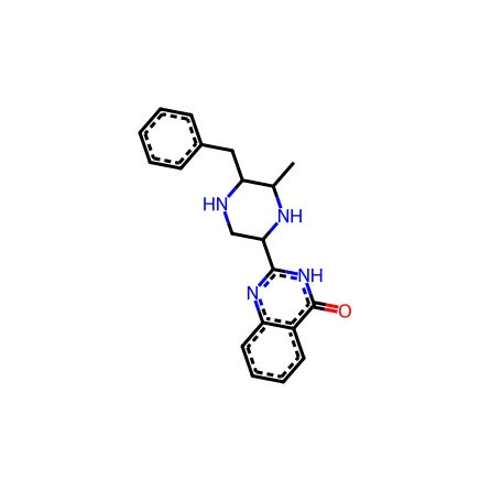 CC1NC(c2nc3ccccc3c(=O)[nH]2)CNC1Cc1ccccc1